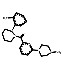 Cc1ccccc1[C@@H]1CCCCN1C(=O)c1cccc(N2CCN(C)CC2)n1